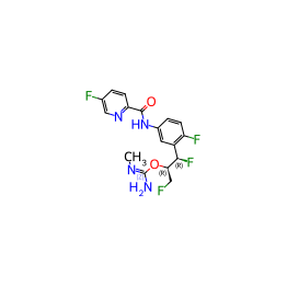 C/N=C(/N)O[C@H](CF)[C@H](F)c1cc(NC(=O)c2ccc(F)cn2)ccc1F